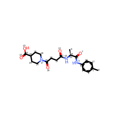 Cc1ccc(NC(=O)[C@H](C)NC(=O)CCC(=O)N2CCC(C(=O)O)CC2)cc1